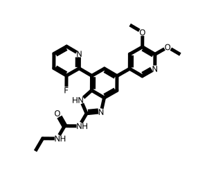 CCNC(=O)Nc1nc2cc(-c3cnc(OC)c(OC)c3)cc(-c3ncccc3F)c2[nH]1